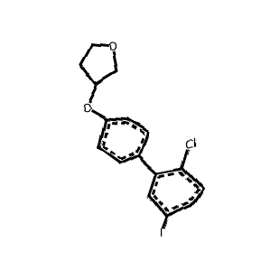 Clc1ccc(I)cc1-c1ccc(OC2CCOC2)cc1